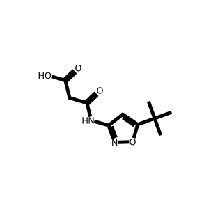 CC(C)(C)c1cc(NC(=O)CC(=O)O)no1